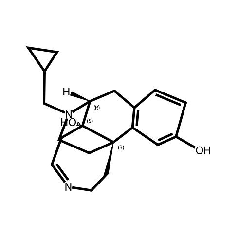 Oc1ccc2c(c1)[C@@]13CCN=CC[C@@]1(O)[C@@H](C2)N(CC1CC1)CC3